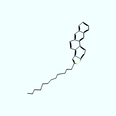 CCCCCCCCCCCCc1cc2c(ccc3c4cc5ccccc5cc4ccc23)s1